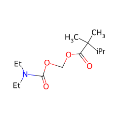 CCN(CC)C(=O)OCOC(=O)C(C)(C)C(C)C